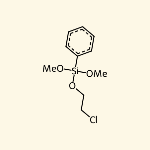 CO[Si](OC)(OCCCl)c1ccccc1